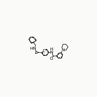 O=C(Nc1ccc(C2CC2NCc2ccccc2)cc1)c1cccc(N2CCCCC2)c1